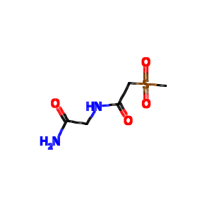 CS(=O)(=O)CC(=O)NCC(N)=O